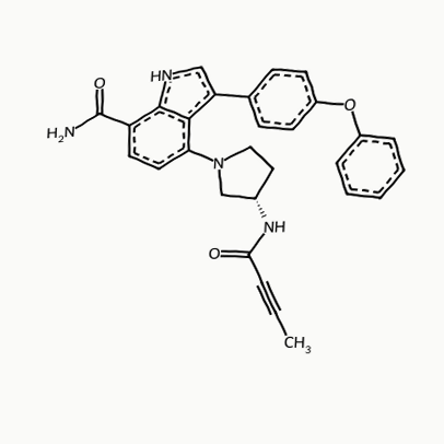 CC#CC(=O)N[C@H]1CCN(c2ccc(C(N)=O)c3[nH]cc(-c4ccc(Oc5ccccc5)cc4)c23)C1